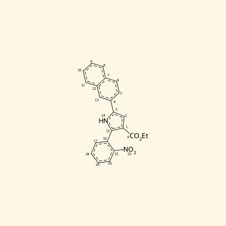 CCOC(=O)c1cc(-c2ccc3ccccc3c2)[nH]c1-c1ccccc1[N+](=O)[O-]